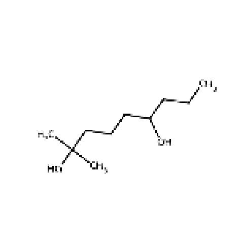 CCCC(O)CCCC(C)(C)O